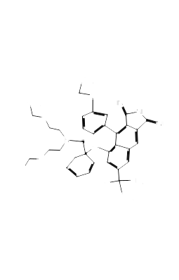 CCOCCN(CCOCC)C(=O)C1(Oc2cc(C(C)(C)C)cc3cc4c(c(-c5cccc(SCC)c5)c23)C(=N)NC4=N)C=CC=CC1